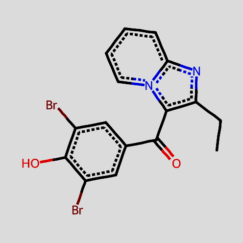 CCc1nc2ccccn2c1C(=O)c1cc(Br)c(O)c(Br)c1